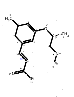 CC1C=C(O[C@H](C)CNC(C)C)C=C(/C=C/C(=O)C(C)C)C1